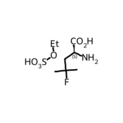 CC(C)(F)C[C@H](N)C(=O)O.CCOS(=O)(=O)O